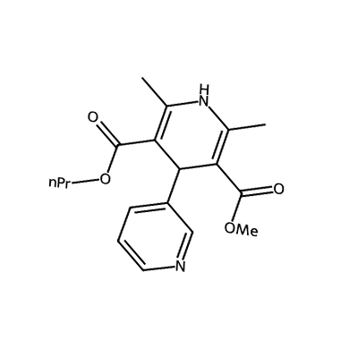 CCCOC(=O)C1=C(C)NC(C)=C(C(=O)OC)C1c1cccnc1